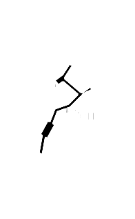 CC#CC[C@@H](O)[C@H](C)C(C)=O